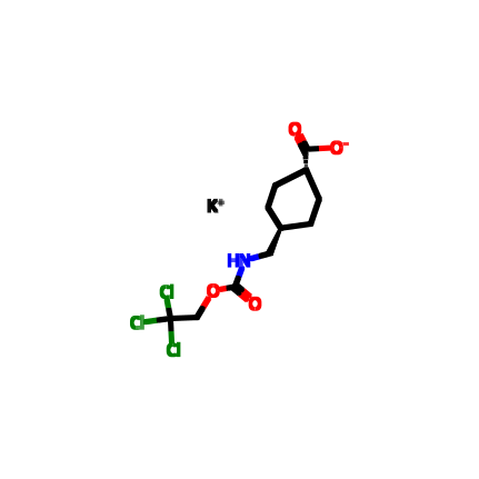 O=C(NC[C@H]1CC[C@H](C(=O)[O-])CC1)OCC(Cl)(Cl)Cl.[K+]